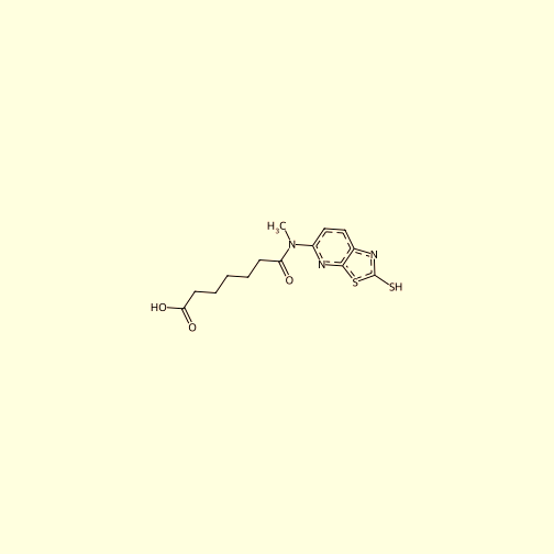 CN(C(=O)CCCCCC(=O)O)c1ccc2nc(S)sc2n1